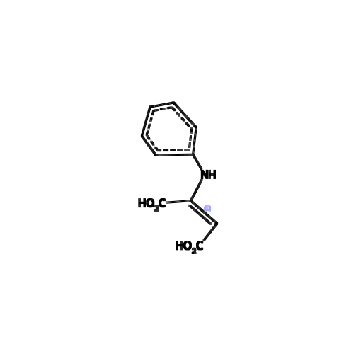 O=C(O)/C=C(/Nc1ccccc1)C(=O)O